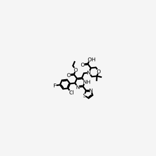 CCOC(=O)C1=C(CN2CC(C)(C)OCC2C(=O)O)NC(c2nccs2)=NC1c1ccc(F)cc1Cl